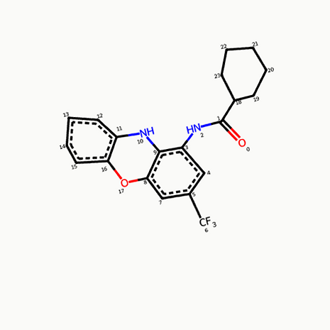 O=C(Nc1cc(C(F)(F)F)cc2c1Nc1ccccc1O2)C1CCCCC1